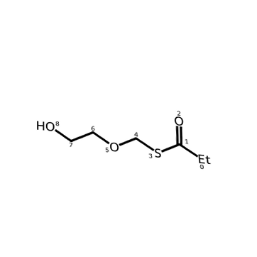 CCC(=O)SCOCCO